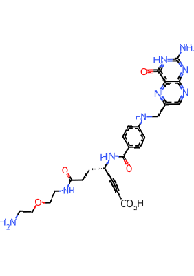 NCCOCCNC(=O)CC[C@@H](C#CC(=O)O)NC(=O)c1ccc(NCc2cnc3nc(N)[nH]c(=O)c3n2)cc1